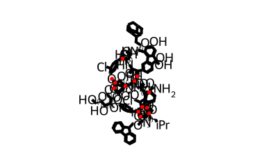 CC(C)C[C@H](C(=O)N[C@H]1C(=O)C[C@@H](CC(N)=O)C(=O)N[C@H]2C(=O)C[C@H]3C(=O)N[C@H](C(=O)N[C@H](C(=O)CC4C5CC6CC(C5)CC4C6)c4cc(O)cc5c4-c4cc3ccc4C5(O)O)[C@H](O)c3ccc(c(Cl)c3)Oc3cc2cc(c3O[C@@H]2O[C@H](CO)[C@@H](O)[C@H](O)[C@H]2O[C@H]2C[C@](C)(NC(=O)OCC3c4ccccc4-c4ccccc43)[C@H](O)[C@H](C)O2)Oc2ccc(cc2Cl)[C@H]1O)N(C)C(=O)OCC1c2ccccc2-c2ccccc21